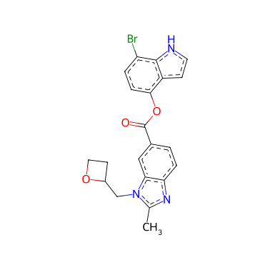 Cc1nc2ccc(C(=O)Oc3ccc(Br)c4[nH]ccc34)cc2n1CC1CCO1